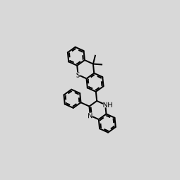 CC1(C)c2ccccc2Sc2cc(C3Nc4ccccc4N=C3c3ccccc3)ccc21